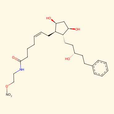 O=C(CCC/C=C\C[C@@H]1[C@@H](CC[C@@H](O)CCc2ccccc2)[C@H](O)C[C@@H]1O)NCCO[N+](=O)[O-]